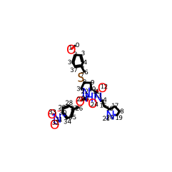 COc1ccc(CS[C@H]2C[C@@H](C(=O)NCCC3CCCN3C)N(C(=O)OCc3ccc([N+](=O)[O-])cc3)C2)cc1